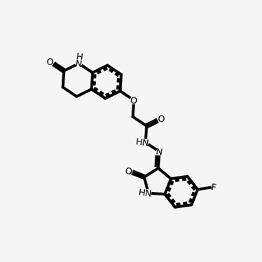 O=C(COc1ccc2c(c1)CCC(=O)N2)N/N=C1\C(=O)Nc2ccc(F)cc21